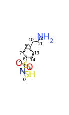 C[SH]=NS(=O)(=O)c1ccc(CCN)cc1